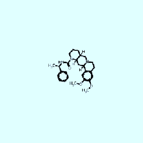 COc1cc2c(cc1OC)[C@@H]1C[C@H]3[C@H](CCCN3C(=O)N[C@H](C)c3ccccc3)CN1CC2